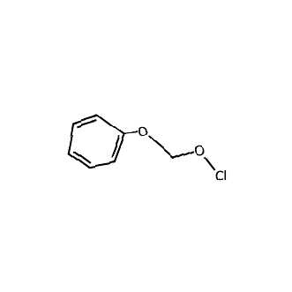 ClOCOc1ccccc1